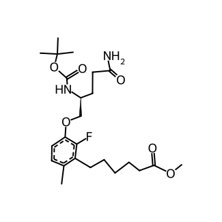 COC(=O)CCCCCc1c(C)ccc(OC[C@H](CCC(N)=O)NC(=O)OC(C)(C)C)c1F